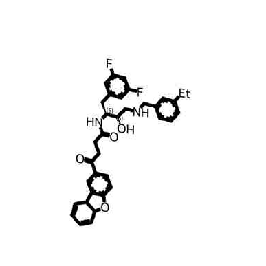 CCc1cccc(CNC[C@H](O)[C@H](Cc2cc(F)cc(F)c2)NC(=O)CCC(=O)c2ccc3c(c2)C2C=CC=CC2O3)c1